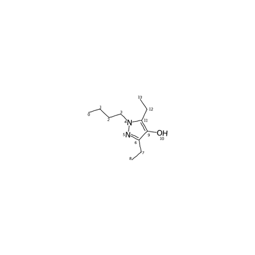 CCCCn1nc(CC)c(O)c1CC